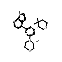 C[C@@H]1COCCN1c1cc([C@H]2COCCC2(C)C)nc(-c2ccnc3[nH]ccc23)n1